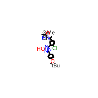 CO[C@](C)(C(=O)NC(C)c1ccc(Cl)c(-c2nc(O)nc(-c3ccc(OCC(C)(C)C)cc3)n2)c1)C(F)(F)F